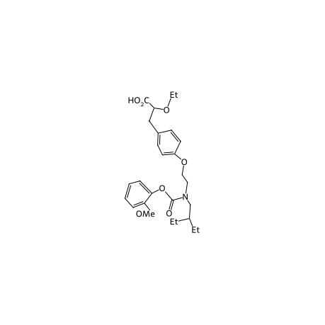 CCOC(Cc1ccc(OCCN(CC(CC)CC)C(=O)Oc2ccccc2OC)cc1)C(=O)O